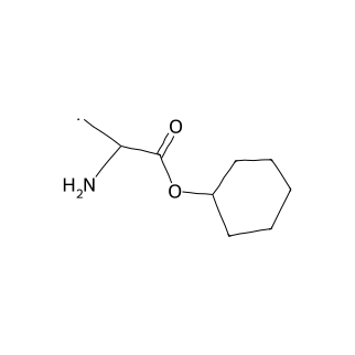 [CH2]C(N)C(=O)OC1CCCCC1